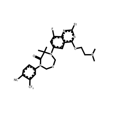 CCc1nc(OCCN(C)C)c2cc(N3CSCN(c4ccc(C#N)c(C(F)(F)F)c4)C(=O)C3(C)C)cc(F)c2n1